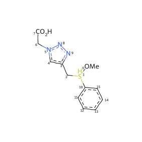 CO[SH](Cc1cn(CC(=O)O)nn1)c1ccccc1